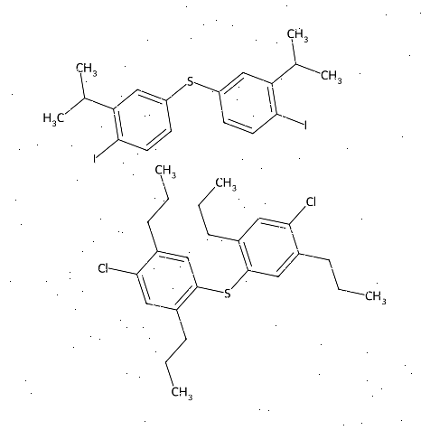 CC(C)c1cc(Sc2ccc(I)c(C(C)C)c2)ccc1I.CCCc1cc(Sc2cc(CCC)c(Cl)cc2CCC)c(CCC)cc1Cl